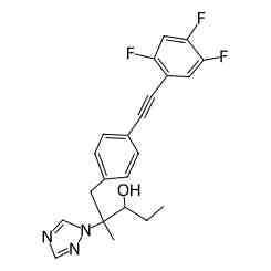 CCC(O)C(C)(Cc1ccc(C#Cc2cc(F)c(F)cc2F)cc1)n1cncn1